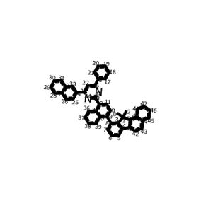 CC1(C)c2c(cccc2-c2ccc(-c3nc(-c4ccccc4)cc(-c4ccc5ccccc5c4)n3)c3ccccc23)-c2ccc3ccccc3c21